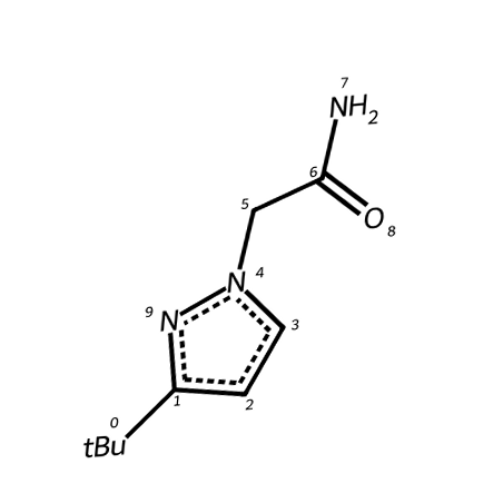 CC(C)(C)c1ccn(CC(N)=O)n1